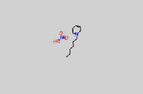 CCCCCCN1C=CC=CC1.O=[N+]([O-])O